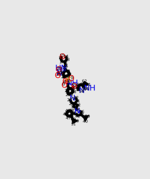 O=C(NS(=O)(=O)c1ccc(NCC2CCOCC2)c([N+](=O)[O-])c1)c1ccc(N2CCC3(CC2)CC(N2CC(C4CC4)CC2c2ccccc2C2CC2)C3)cc1Oc1cnc2[nH]ccc2c1